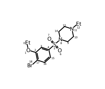 CCOc1cc(S(=O)(=O)N2CCN(CC)CC2)ccc1Br